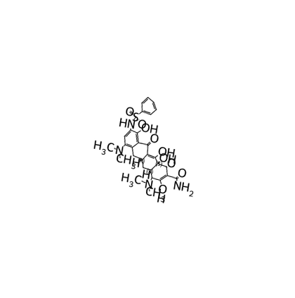 CN(C)c1cc(NS(=O)(=O)c2ccccc2)c(O)c2c1C[C@H]1C[C@H]3C(N(C)C)C(O)=C(C(N)=O)C(=O)[C@@]3(O)C(O)=C1C2=O